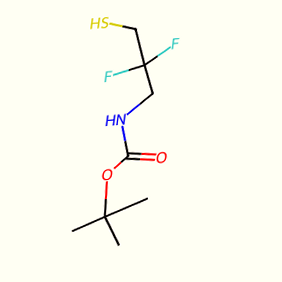 CC(C)(C)OC(=O)NCC(F)(F)CS